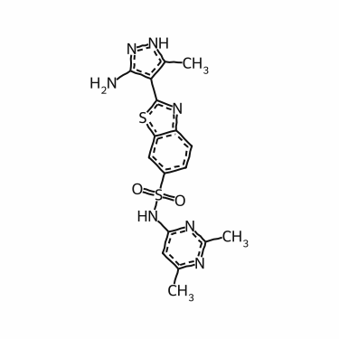 Cc1cc(NS(=O)(=O)c2ccc3nc(-c4c(N)n[nH]c4C)sc3c2)nc(C)n1